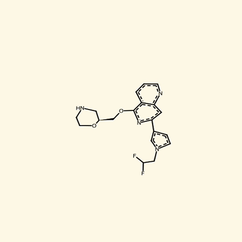 FC(F)Cn1ccc(-c2cc3ncccc3c(OC[C@@H]3CNCCO3)n2)c1